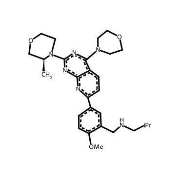 COc1ccc(-c2ccc3c(N4CCOCC4)nc(N4CCOC[C@@H]4C)nc3n2)cc1CNCC(C)C